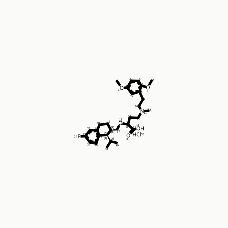 COc1ccc(OC)c(CCN(C)CCC(OC[C@@H]2CCc3cc(F)ccc3[C@@H]2C(C)C)C(=O)O)c1.Cl